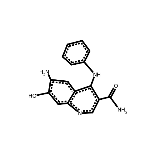 NC(=O)c1cnc2cc(O)c(N)cc2c1Nc1ccccc1